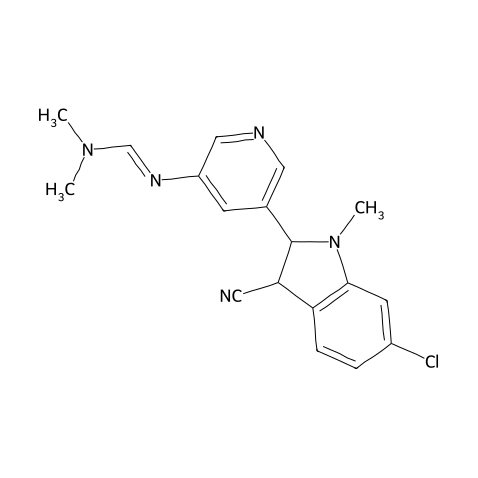 CN(C)/C=N/c1cncc(C2C(C#N)c3ccc(Cl)cc3N2C)c1